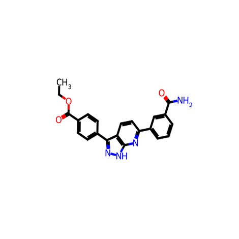 CCOC(=O)c1ccc(-c2n[nH]c3nc(-c4cccc(C(N)=O)c4)ccc23)cc1